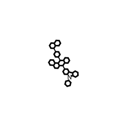 c1ccc(-n2c3ccccc3c3cc(-c4c5ccccc5c(-c5ccc(-c6cccc7ccccc67)cc5)c5c4ccc4ccccc45)ccc32)cc1